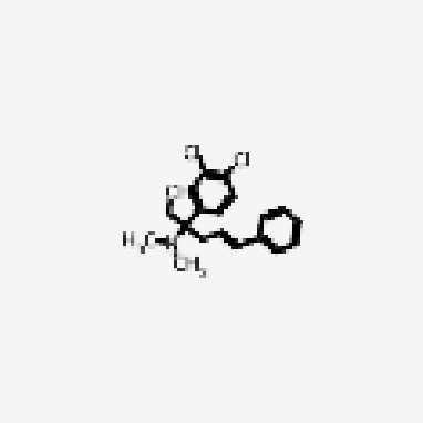 CCC(CC=Cc1ccccc1)(c1ccc(Cl)c(Cl)c1)N(C)C